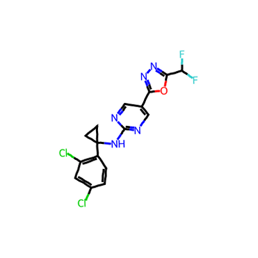 FC(F)c1nnc(-c2cnc(NC3(c4ccc(Cl)cc4Cl)CC3)nc2)o1